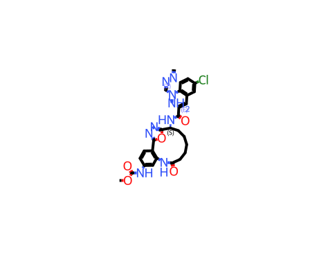 C=N/N=C\N(N)c1ccc(Cl)cc1/C=C/C(=O)N[C@H]1CCCCCC(=O)Nc2cc(NC(=O)OC)ccc2-c2nnc1o2